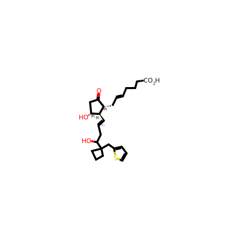 O=C(O)CCCC=CC[C@H]1C(=O)C[C@@H](O)[C@@H]1/C=C/CC(O)C1(Cc2cccs2)CCC1